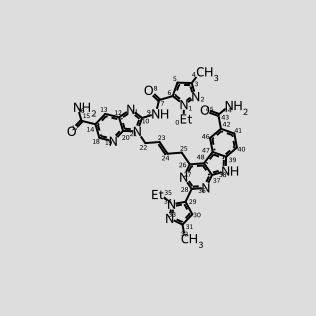 CCn1nc(C)cc1C(=O)Nc1nc2cc(C(N)=O)cnc2n1CC=CCc1nc(-c2cc(C)nn2CC)nc2[nH]c3ccc(C(N)=O)cc3c12